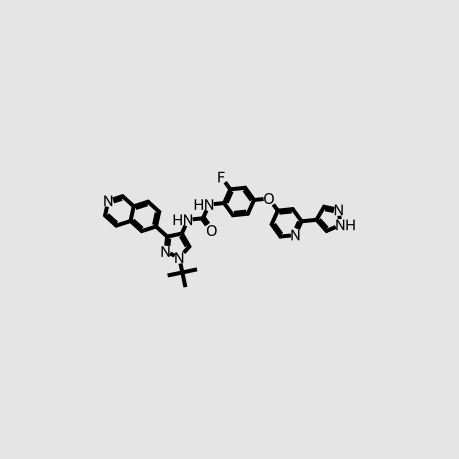 CC(C)(C)n1cc(NC(=O)Nc2ccc(Oc3ccnc(-c4cn[nH]c4)c3)cc2F)c(-c2ccc3cnccc3c2)n1